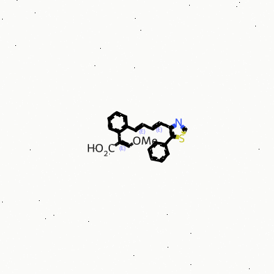 CO/C=C(/C(=O)O)c1ccccc1/C=C/C=C/c1ncsc1-c1ccccc1